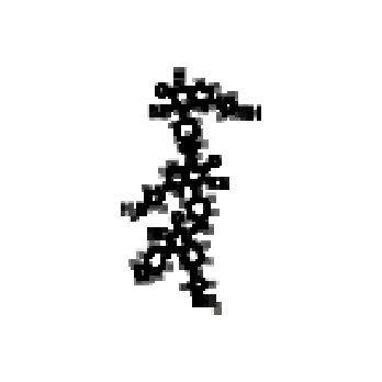 N#Cc1c(N2CCC3(CC2)CC(n2c(=O)c(C#N)c(N4CCC5(CC4)CC5n4c(=O)c(C#N)c(N5CCC6(CCC6)CC5)c5nc(N6CC(N)C6)ccc54)c4nc(N5CC(N)C5)ccc42)C3)c2nc(N3CC(O)C3)ccc2[nH]c1=O